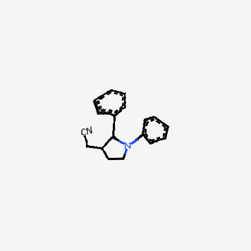 N#CCC1CCN(c2ccccc2)C1c1ccccc1